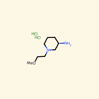 COCCN1CCC[C@@H](N)C1.Cl.Cl